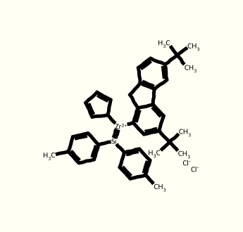 Cc1ccc([Si](c2ccc(C)cc2)=[Zr+2]([c]2cc(C(C)(C)C)cc3c2Cc2ccc(C(C)(C)C)cc2-3)[CH]2C=CC=C2)cc1.[Cl-].[Cl-]